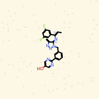 C=C1N=NN(Cc2cccc(-c3ncc(O)cn3)c2)/C1=N/C(=C\C)c1cc(F)cc(F)c1